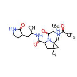 CC(C)(C)[C@H](NC(=O)C(F)(F)F)C(=O)N1[C@@H]2C[C@@H]2C[C@H]1C(=O)N[C@H](C#N)CC1CCNC1=O